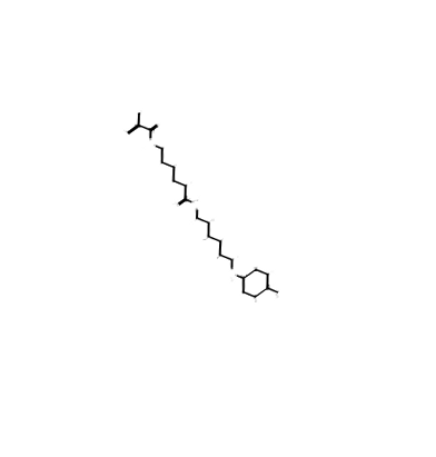 C=C(C)C(=O)OCCCCCC(=O)OCCCCCCOC1CCC(C)CC1